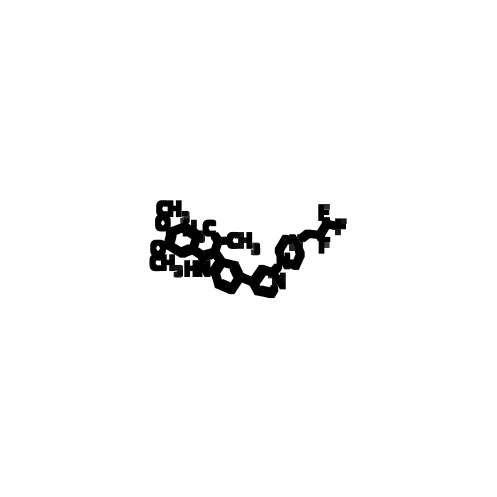 COc1ccc(-c2[nH]c3ccc(-c4ccnc(N5CCN(CC(F)C(F)F)CC5)c4)cc3c2C(C)C)cc1OC